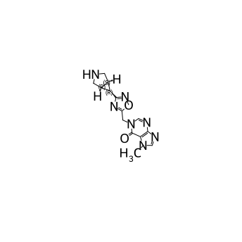 Cn1cnc2ncn(Cc3nc([C@H]4[C@@H]5CNC[C@@H]54)no3)c(=O)c21